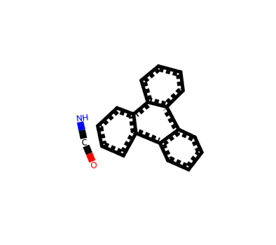 N=C=O.c1ccc2c(c1)c1ccccc1c1ccccc21